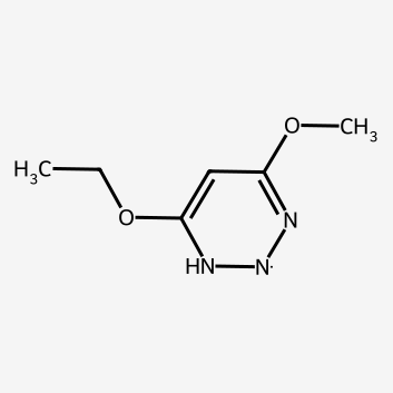 CCOC1=CC(OC)=N[N]N1